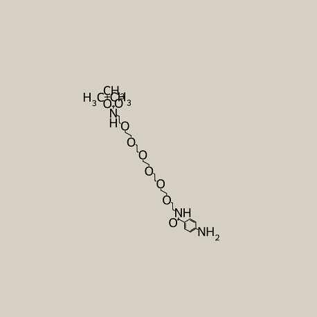 CC(C)(C)OC(=O)NCCOCCOCCOCCOCCOCCOCCNC(=O)c1ccc(N)cc1